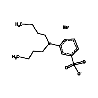 CCCCN(CCCC)c1cccc(S(=O)(=O)[O-])c1.[Na+]